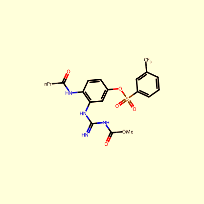 CCCC(=O)Nc1ccc(OS(=O)(=O)c2cccc(C(F)(F)F)c2)cc1NC(=N)NC(=O)OC